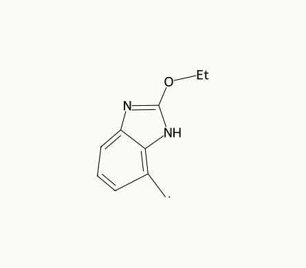 [CH2]c1cccc2nc(OCC)[nH]c12